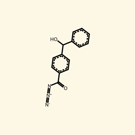 [N-]=[N+]=NC(=O)c1ccc(C(O)c2ccccc2)cc1